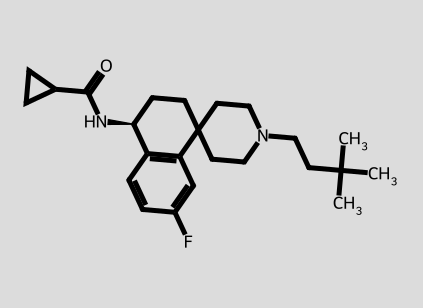 CC(C)(C)CCN1CCC2(CC[C@H](NC(=O)C3CC3)c3ccc(F)cc32)CC1